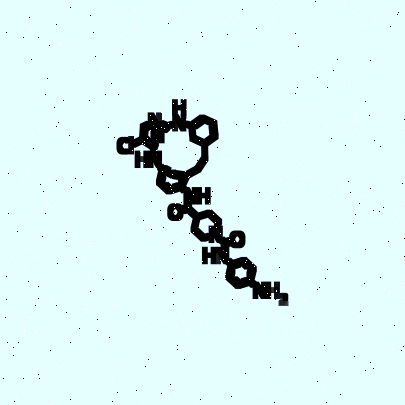 Nc1ccc(NC(=O)N2CCC(C(=O)Nc3ccc4cc3CCC3C=CC=C(C3)Nc3ncc(Cl)c(n3)N4)CC2)cc1